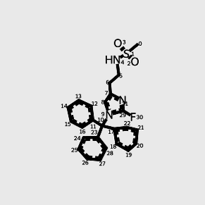 CS(=O)(=O)NCCc1cn(C(c2ccccc2)(c2ccccc2)c2ccccc2)c(F)n1